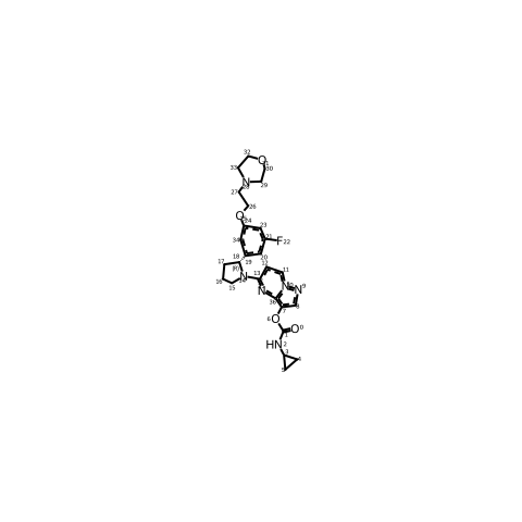 O=C(NC1CC1)Oc1cnn2ccc(N3CCC[C@@H]3c3cc(F)cc(OCCN4CCOCC4)c3)nc12